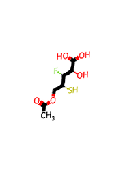 CC(=O)OC[C@@H](S)[C@H](F)[C@@H](O)C(O)O